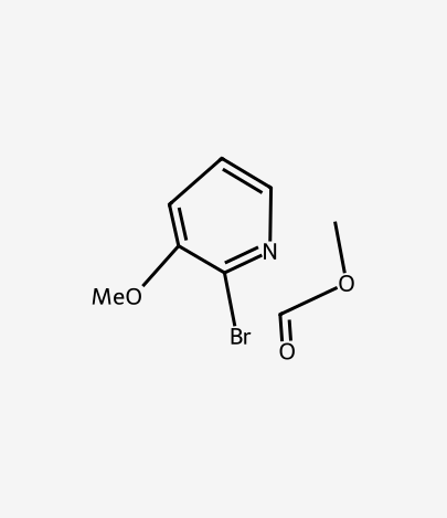 COC=O.COc1cccnc1Br